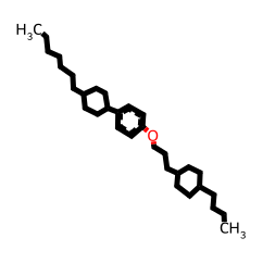 CCCCCCCC1CCC(c2ccc(OCCCC3CCC(CCCC)CC3)cc2)CC1